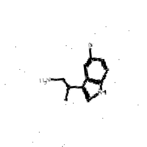 CC(CN)c1c[nH]c2ccc(Br)cc12